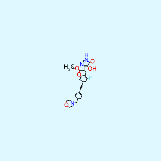 CCOC(=O)C(Cc1ccc(C#Cc2ccc(CN3CCOCC3)cc2)cc1F)c1nc[nH]c(=O)c1O